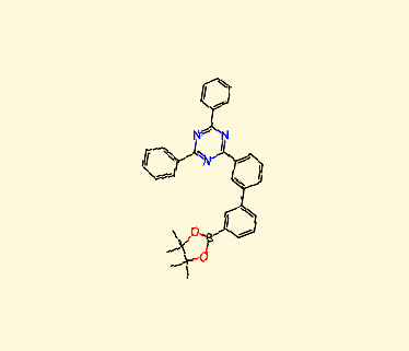 CC1(C)OB(c2cccc(-c3cccc(-c4nc(-c5ccccc5)nc(-c5ccccc5)n4)c3)c2)OC1(C)C